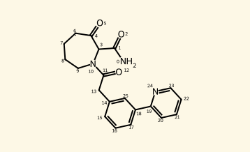 NC(=O)C1C(=O)[CH]CCCN1C(=O)Cc1cccc(-c2ccccn2)c1